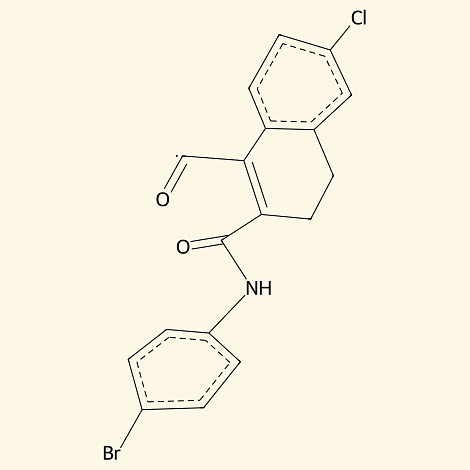 O=[C]C1=C(C(=O)Nc2ccc(Br)cc2)CCc2cc(Cl)ccc21